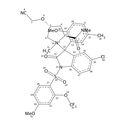 CNC(=O)[C@@H]1C[C@@H](OCC#N)C[N+]1(C)C1(c2cc(C)ccc2OC)C(=O)N(S(=O)(=O)c2ccc(OC)cc2OC(F)(F)F)c2ccc(Cl)cc21